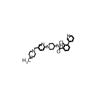 CN1CCN(Cc2ccc(N3CCC(NC(=O)c4cccc(-c5cccnc5)c4Cl)CC3)nc2)CC1